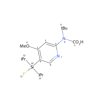 COc1cc(N(C(=O)O)C(C)(C)C)ncc1[Si](F)(C(C)C)C(C)C